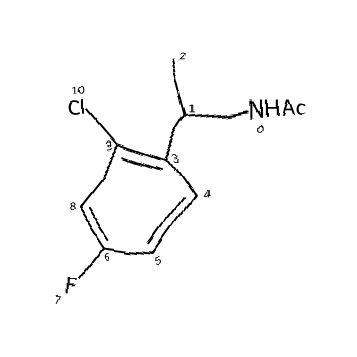 CC(=O)NC(C)c1ccc(F)cc1Cl